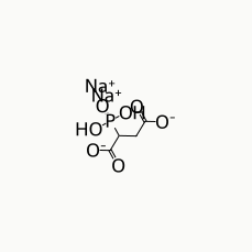 O=C([O-])CC(C(=O)[O-])P(=O)(O)O.[Na+].[Na+]